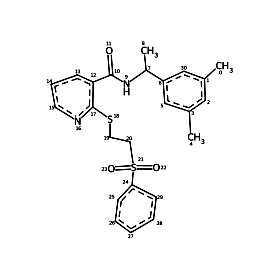 Cc1cc(C)cc(C(C)NC(=O)c2cccnc2SCCS(=O)(=O)c2ccccc2)c1